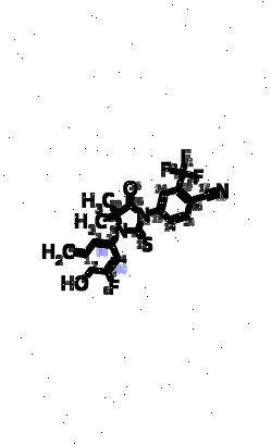 C=C/C=C(\C=C(\F)CO)N1C(=S)N(c2ccc(C#N)c(C(F)(F)F)c2)C(=O)C1(C)C